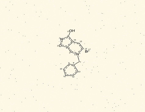 Oc1noc2c[n+](Cc3ccccc3)ccc12.[Br-]